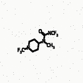 CN(C(=O)NC(F)(F)F)C1CCN(C(F)(F)F)CC1